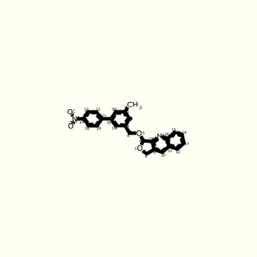 Cc1cc(COC2OCc3cc4ccccc4nc32)cc(-c2ccc([N+](=O)[O-])cc2)c1